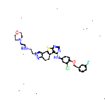 Fc1cccc(COc2ccc(Nc3ncnc4sc5c(c34)CCc3nn(CCNCCN4CCOCC4)cc3-5)cc2Cl)c1